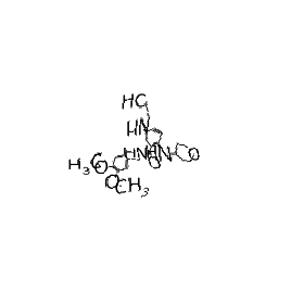 C#CCNc1ccc(NC2CCOCC2)c(C(=O)NCc2ccc(OC)c(OC)c2)c1